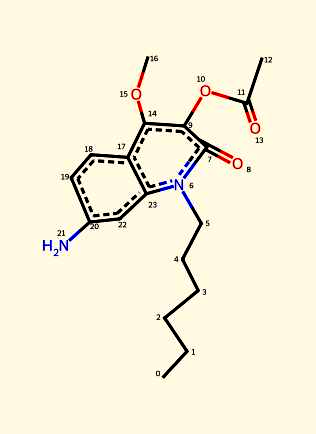 CCCCCCn1c(=O)c(OC(C)=O)c(OC)c2ccc(N)cc21